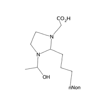 CCCCCCCCCCCCC1N(CC(=O)O)CCN1C(C)O